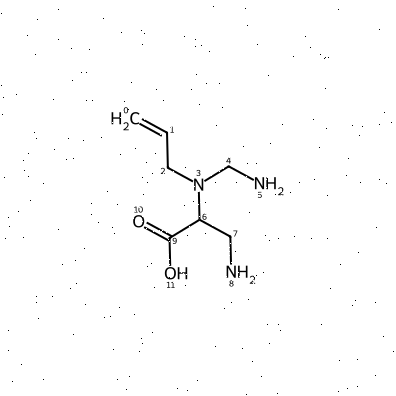 C=CCN(CN)C(CN)C(=O)O